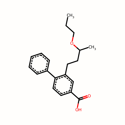 CCCOC(C)CCc1cc(C(=O)O)ccc1-c1ccccc1